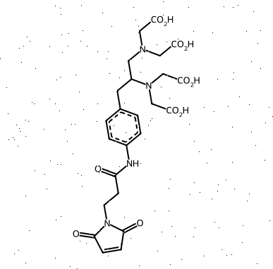 O=C(O)CN(CC(=O)O)CC(Cc1ccc(NC(=O)CCN2C(=O)C=CC2=O)cc1)N(CC(=O)O)CC(=O)O